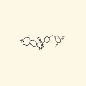 CN1CCc2cc(N(C)C)c(S(=O)(=O)c3ccc(Cc4cc(F)cc(F)c4)cc3)cc2CC1